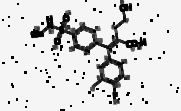 Cc1cc(/C(=C(/CCO)C(=O)O)c2ccc(S(=O)(=O)NC(C)(C)C)cc2)ccc1F